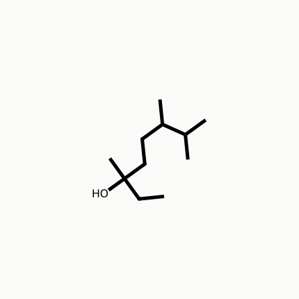 CCC(C)(O)CCC(C)C(C)C